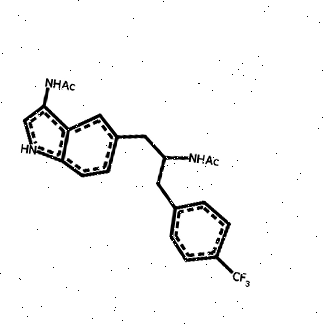 CC(=O)Nc1c[nH]c2ccc(CC(Cc3ccc(C(F)(F)F)cc3)NC(C)=O)cc12